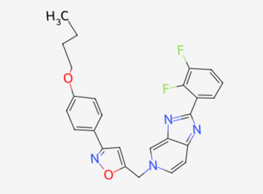 CCCCOc1ccc(-c2cc(Cn3ccc4nc(-c5cccc(F)c5F)nc-4c3)on2)cc1